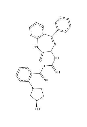 N=C(NC1N=C(c2ccccc2)c2ccccc2NC1=O)OC(=N)c1ccccc1N1CC[C@@H](O)C1